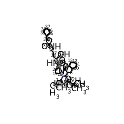 CC(C)CC(/C=C/C(Cc1ccccc1)C(=O)N1CCC[C@H]1C(=O)NC(CCCNC(=O)OCc1ccccc1)C(=O)O)NC(=O)OC(C)(C)C